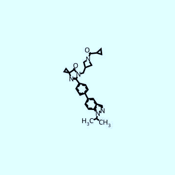 CC(C)n1ncc2cc(-c3ccc(C4=NC5(CC5)C(=O)N4CC4CN(C(=O)C5CC5)C4)cc3)ccc21